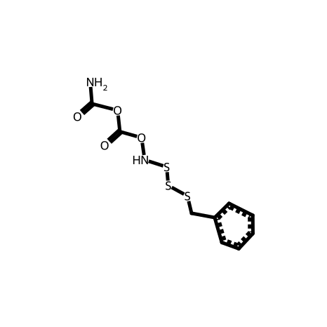 NC(=O)OC(=O)ONSSSCc1ccccc1